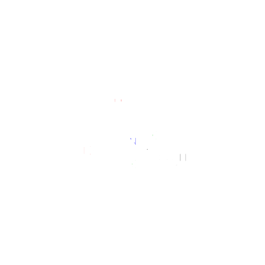 O=C(O)C(Cl)(Cl)N(CCO)CCO